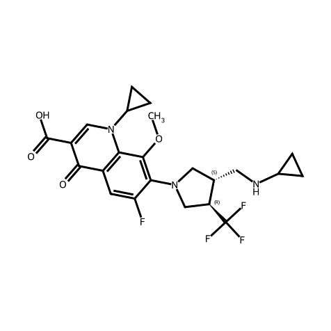 COc1c(N2C[C@H](CNC3CC3)[C@@H](C(F)(F)F)C2)c(F)cc2c(=O)c(C(=O)O)cn(C3CC3)c12